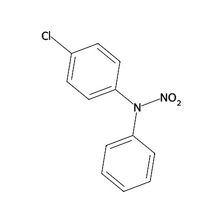 O=[N+]([O-])N(c1ccccc1)c1ccc(Cl)cc1